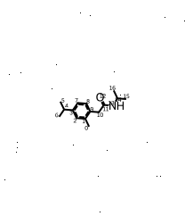 Cc1cc(C(C)C)ccc1CC(=O)NC(C)C